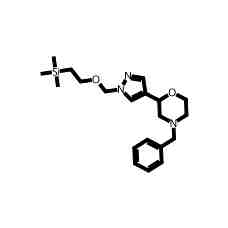 C[Si](C)(C)CCOCn1cc(C2CN(Cc3ccccc3)CCO2)cn1